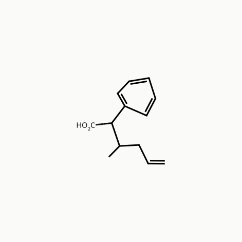 C=CCC(C)C(C(=O)O)c1ccccc1